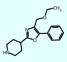 CCOCc1nc(C2CCNCC2)oc1-c1ccccc1